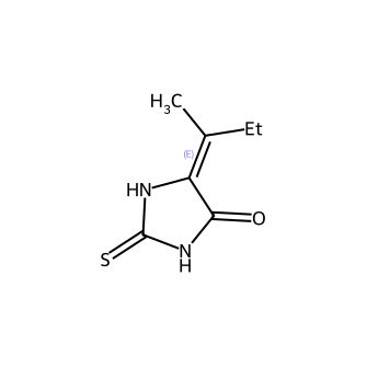 CC/C(C)=C1/NC(=S)NC1=O